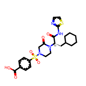 O=C(O)c1ccc(S(=O)(=O)N2CCN([C@@H](CC3CCCCC3)C(=O)Nc3nccs3)C(=O)C2)cc1